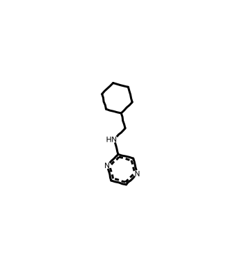 c1cnc(NCC2CCCCC2)cn1